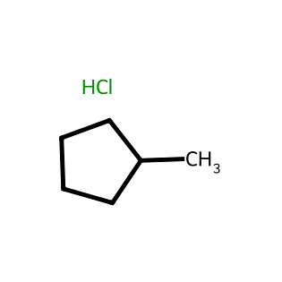 CC1CCCC1.Cl